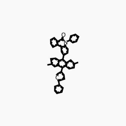 Cc1ccc2c(-c3ccc4c(c3)c3ccccc3c(=O)n4-c3ccccc3)c3cc(C)ccc3c(-c3ccc(-c4ccccc4)cc3)c2c1